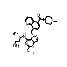 CCC[C@@H](CCO)Nc1nc(N)nc2cnn(Cc3ccc(C(=O)N4CCN(C)CC4)c4cccnc34)c12